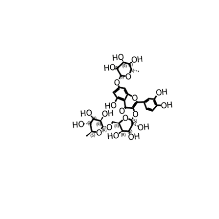 C[C@@H]1O[C@@H](OC[C@H]2O[C@@H](Oc3c(-c4ccc(O)c(O)c4)oc4cc(O[C@@H]5O[C@@H](C)[C@H](O)[C@@H](O)[C@H]5O)cc(O)c4c3=O)[C@H](O)[C@@H](O)[C@H]2O)[C@H](O)[C@H](O)[C@H]1O